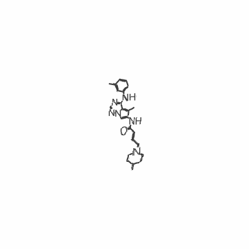 Cc1cccc(Nc2ncnn3cc(NC(=O)/C=C/CN4CCC(C)CC4)c(C)c23)c1